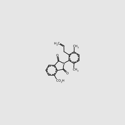 C=CCc1c(C)ccc(C)c1N1C(=O)c2cccc(C(=O)O)c2C1=O